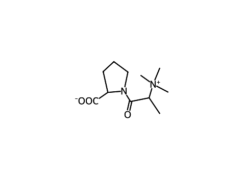 CC(C(=O)N1CCCC1C(=O)[O-])[N+](C)(C)C